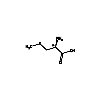 CSC[C@@H](N)C(=O)O